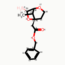 B[C@@H]1O[C@@]2(CC(=O)OCc3ccccc3)CCOC1C2C